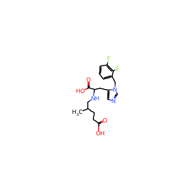 CC(CCC(=O)O)CNC(Cc1cncn1Cc1cccc(F)c1F)C(=O)O